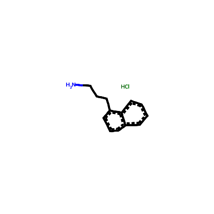 Cl.NCCCc1cccc2ccccc12